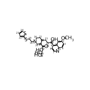 COc1ccc2nccc([C@H](O)CC[C@@H]3CCN(CCSc4cccs4)C[C@@H]3C(=O)O)c2c1.Cl.Cl